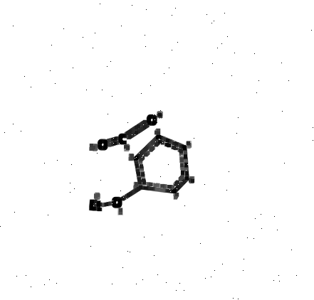 CCOc1ccccc1.O=C=O